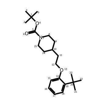 CC(C)(C)OC(=O)N1CCC(CCOc2ccccc2C(C)(C)C)CC1